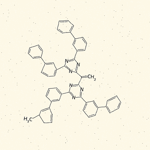 C=C(c1nc(-c2cccc(C3=CC(C)CC=C3)c2)nc(-c2cccc(-c3ccccc3)c2)n1)c1nc(-c2cccc(-c3ccccc3)c2)nc(-c2cccc(-c3ccccc3)c2)n1